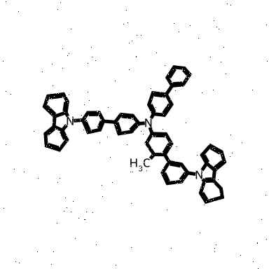 CC1CC(N(c2ccc(-c3ccccc3)cc2)c2ccc(-c3ccc(-n4c5ccccc5c5ccccc54)cc3)cc2)=CC=C1c1cccc(-n2c3c(c4ccccc42)CCC=C3)c1